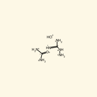 Cl.N=C(N)NN.NC(N)=O